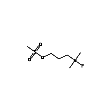 C[Si](C)(F)CCCOS(C)(=O)=O